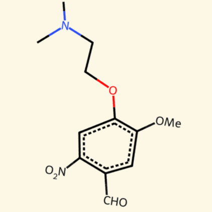 COc1cc(C=O)c([N+](=O)[O-])cc1OCCN(C)C